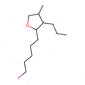 CCCC1C(C)COC1CCCCCI